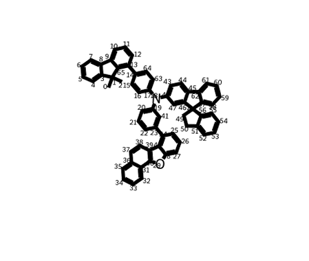 CC1(C)c2ccccc2-c2cccc(-c3ccc(N(c4cccc(-c5cccc6oc7c8ccccc8ccc7c56)c4)c4ccc5c(c4)C4(CCc6ccccc64)c4ccccc4-5)cc3)c21